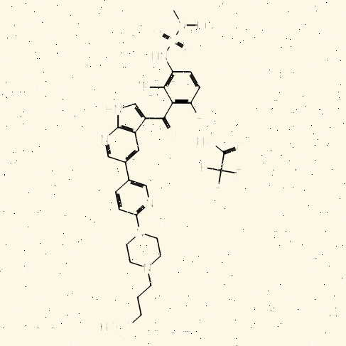 CCN(C)S(=O)(=O)Nc1ccc(F)c(C(=O)c2c[nH]c3ncc(-c4ccc(N5CCN(CCCC(=O)O)CC5)nc4)cc23)c1F.O=C(O)C(F)(F)F